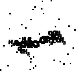 COc1ccc(-c2[nH]c3ccc(C4CCN(CCN(C(=O)O)C(C)(C)C)CC4)cc3c2C)cc1OC